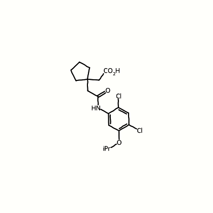 CC(C)Oc1cc(NC(=O)CC2(CC(=O)O)CCCC2)c(Cl)cc1Cl